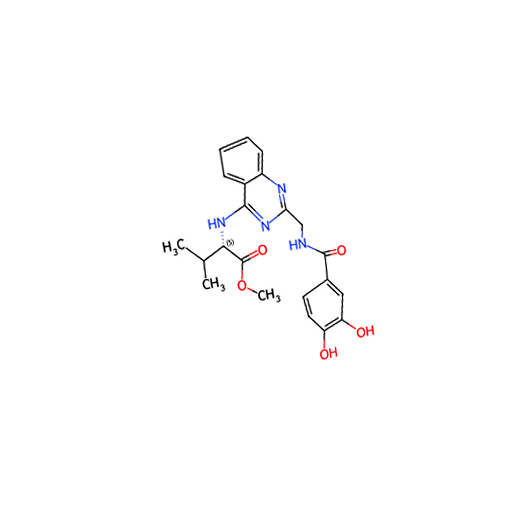 COC(=O)[C@@H](Nc1nc(CNC(=O)c2ccc(O)c(O)c2)nc2ccccc12)C(C)C